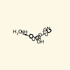 CNCC#Cc1ccc2c(c1)CCN1C2=CC(OCC2COc3ncccc3O2)=NC1O